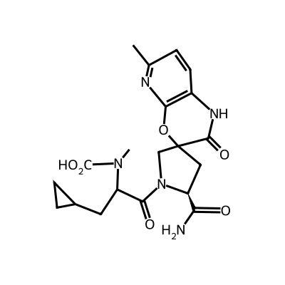 Cc1ccc2c(n1)OC1(C[C@@H](C(N)=O)N(C(=O)C(CC3CC3)N(C)C(=O)O)C1)C(=O)N2